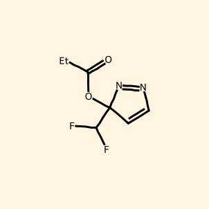 CCC(=O)OC1(C(F)F)C=CN=N1